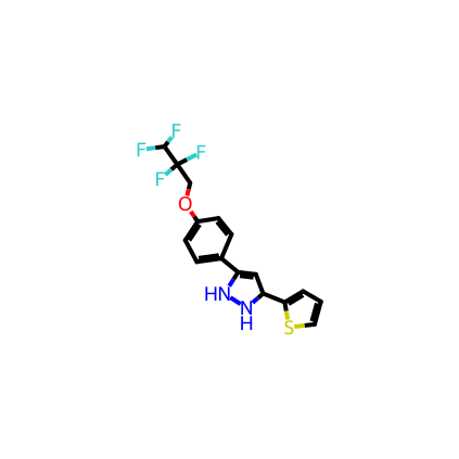 FC(F)C(F)(F)COc1ccc(C2=CC(c3cccs3)NN2)cc1